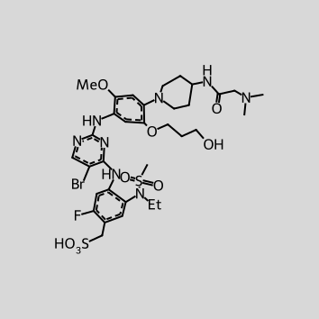 CCN(c1cc(CS(=O)(=O)O)c(F)cc1Nc1nc(Nc2cc(OCCCO)c(N3CCC(NC(=O)CN(C)C)CC3)cc2OC)ncc1Br)S(C)(=O)=O